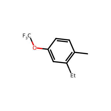 CCc1cc(OC(F)(F)F)ccc1C